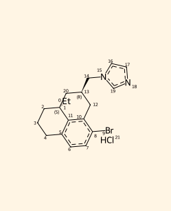 CC[C@@]12CCCc3ccc(Br)c(c31)C[C@H](Cn1ccnc1)C2.Cl